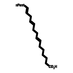 CCCCC/C=C/C/C=C/CC/C=C/CCCCCC(=O)O